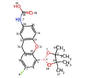 CC1(C)OB(c2cc(F)cc3c2Oc2ccc(NC(=O)O)cc2C3)OC1(C)C